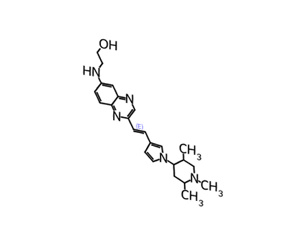 CC1CN(C)C(C)CC1n1ccc(/C=C/c2cnc3cc(NCCO)ccc3n2)c1